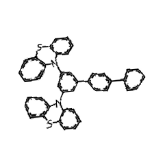 c1ccc(-c2ccc(-c3cc(N4c5ccccc5Sc5ccccc54)cc(N4c5ccccc5Sc5ccccc54)c3)cc2)cc1